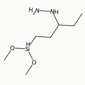 CCC(CC[SiH](OC)OC)NN